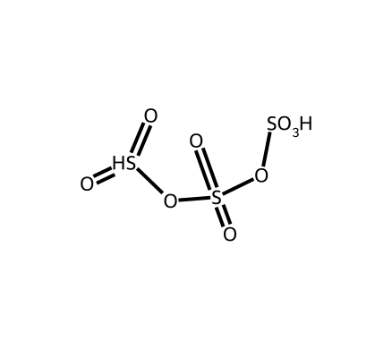 O=[SH](=O)OS(=O)(=O)OS(=O)(=O)O